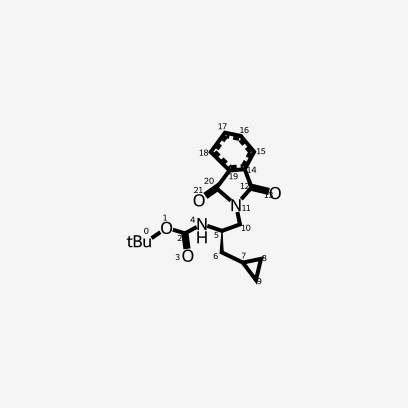 CC(C)(C)OC(=O)N[C@H](CC1CC1)CN1C(=O)c2ccccc2C1=O